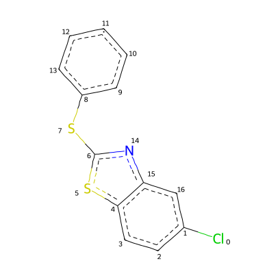 Clc1ccc2sc(Sc3cc[c]cc3)nc2c1